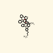 CCCCc1ccc2c(c1)c1ccccc1n2-c1ccccc1-c1cncc(-c2cncc(-c3ccccc3-n3c4ccccc4c4cc(CCCC)ccc43)c2)c1